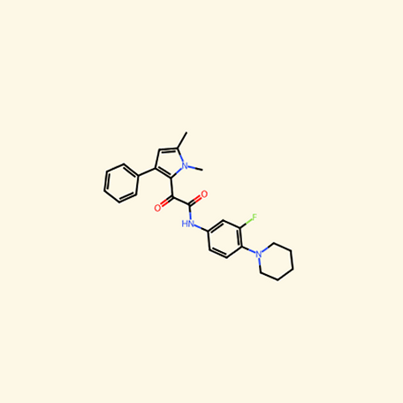 Cc1cc(-c2ccccc2)c(C(=O)C(=O)Nc2ccc(N3CCCCC3)c(F)c2)n1C